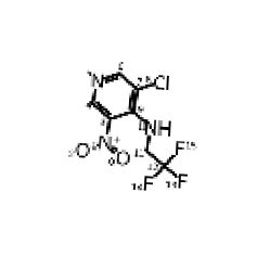 O=[N+]([O-])c1cncc(Cl)c1NCC(F)(F)F